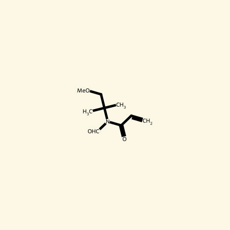 C=CC(=O)N(C=O)C(C)(C)COC